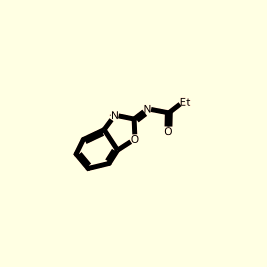 CCC(=O)N=C1[N]c2ccccc2O1